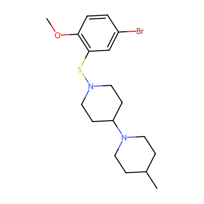 COc1ccc(Br)cc1SN1CCC(N2CCC(C)CC2)CC1